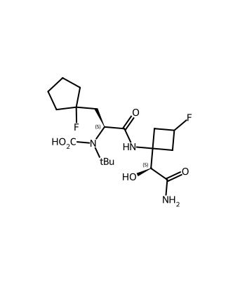 CC(C)(C)N(C(=O)O)[C@@H](CC1(F)CCCC1)C(=O)NC1([C@H](O)C(N)=O)CC(F)C1